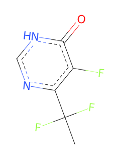 CC(F)(F)c1nc[nH]c(=O)c1F